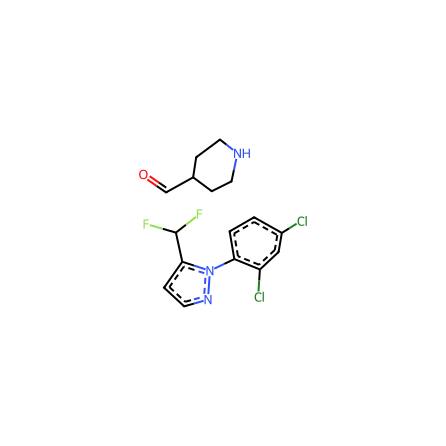 FC(F)c1ccnn1-c1ccc(Cl)cc1Cl.O=CC1CCNCC1